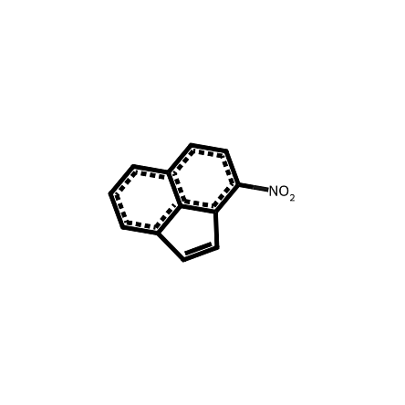 O=[N+]([O-])c1ccc2cccc3c2c1C=C3